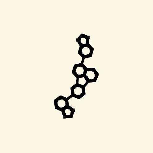 c1cc(-c2ccc3c(c2)-c2ccc(-c4ccc5ncsc5c4)c4cccc-3c24)c2scnc2c1